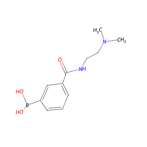 CN(C)CCNC(=O)c1cccc(B(O)O)c1